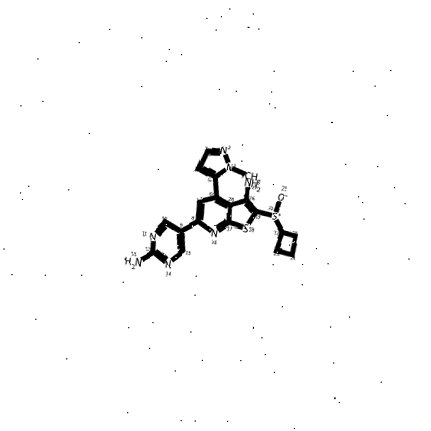 Cn1nccc1-c1cc(-c2cnc(N)nc2)nc2sc([S+]([O-])C3CCC3)c(N)c12